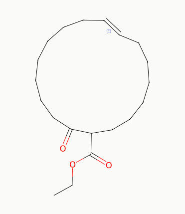 CCOC(=O)C1CCCCCC/C=C/CCCCCCCC1=O